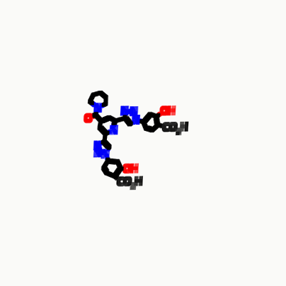 O=C(O)c1ccc(-n2cc(-c3cc(C(=O)N4CCCCC4)cc(-c4cn(-c5ccc(C(=O)O)c(O)c5)nn4)n3)nn2)cc1O